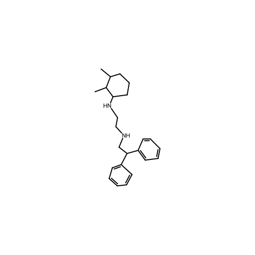 CC1CCCC(NCCNCC(c2ccccc2)c2ccccc2)C1C